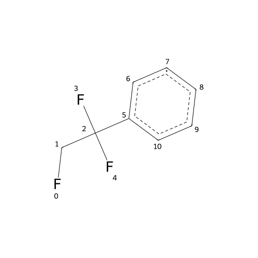 FCC(F)(F)c1c[c]ccc1